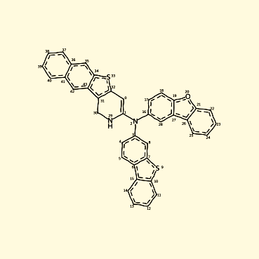 C1=C(N(c2ccc3c(c2)sc2ccccc23)c2ccc3oc4ccccc4c3c2)NCc2c1sc1cc3ccccc3cc21